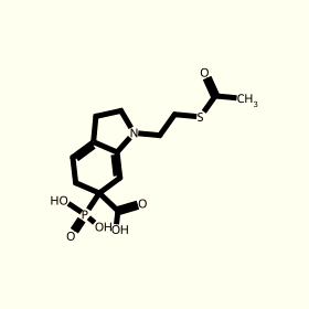 CC(=O)SCCN1CCC2=CCC(C(=O)O)(P(=O)(O)O)C=C21